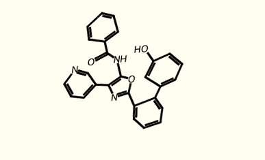 O=C(Nc1oc(-c2ccccc2-c2cccc(O)c2)nc1-c1cccnc1)c1ccccc1